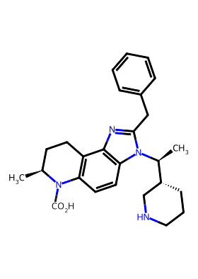 C[C@H]1CCc2c(ccc3c2nc(Cc2ccccc2)n3[C@@H](C)[C@@H]2CCCNC2)N1C(=O)O